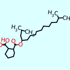 CC(C)CCCCCCCCCC(CC(C)C)OC(=O)C1CCCCC1C(=O)O